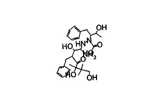 CC(O)C(Cc1ccccc1)N(NC(N)C(O)C(Cc1ccccc1)C(=O)C(C)(O)C(C)(C)CO)C(=O)O